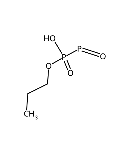 CCCOP(=O)(O)P=O